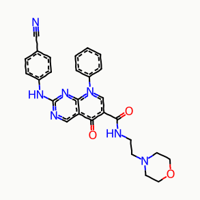 N#Cc1ccc(Nc2ncc3c(=O)c(C(=O)NCCN4CCOCC4)cn(-c4ccccc4)c3n2)cc1